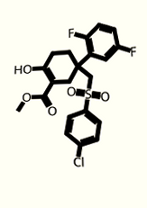 COC(=O)C1=C(O)CCC(CS(=O)(=O)c2ccc(Cl)cc2)(c2cc(F)ccc2F)C1